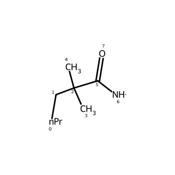 CCCCC(C)(C)C([NH])=O